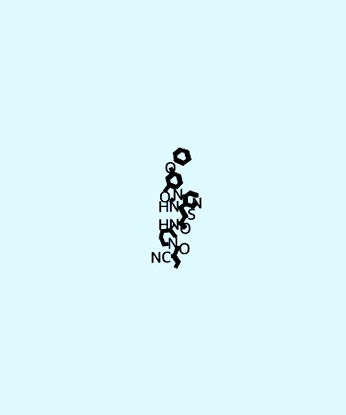 C/C=C(\C#N)C(=O)N1CCC[C@@H](NC(=O)c2sc3nccc4c3c2NC(=O)N4c2ccc(Oc3ccccc3)cc2C)C1